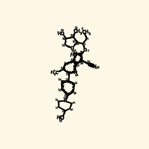 CCC(Oc1[nH]c2cc(C)c(-c3ccc(N4CCC(O)CC4)cc3)nc2c1C#N)[C@H]1OCC(O)C1C